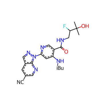 CCC(C)Nc1cc(-n2ncc3cc(C#N)cnc32)ncc1C(=O)NCC(F)C(C)(C)O